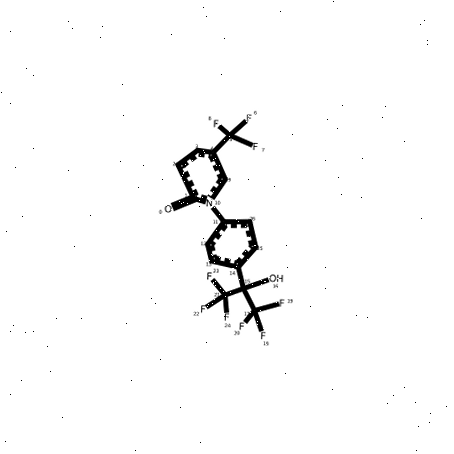 O=c1ccc(C(F)(F)F)cn1-c1ccc(C(O)(C(F)(F)F)C(F)(F)F)cc1